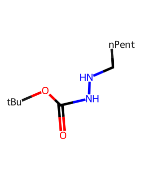 CCCCCCNNC(=O)OC(C)(C)C